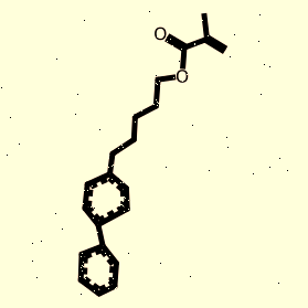 C=C(C)C(=O)OCCCCCc1ccc(-c2ccccc2)cc1